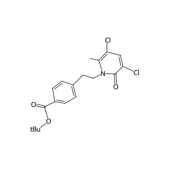 Cc1c(Cl)cc(Cl)c(=O)n1CCc1ccc(C(=O)OC(C)(C)C)cc1